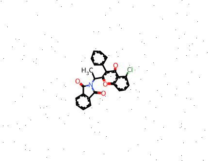 CC(c1oc2cccc(Cl)c2c(=O)c1-c1ccccc1)N1C(=O)c2ccccc2C1=O